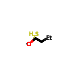 CCCC[O].S